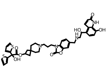 O=C(OC1CC2(CCN(CCCn3c(=O)oc4cc(CNCC(O)c5ccc(O)c6[nH]c(=O)ccc56)ccc43)CC2)C1)C(O)(c1cccs1)c1cccs1